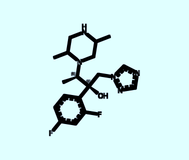 CC1CN([C@H](C)[C@](O)(Cn2cncn2)c2ccc(F)cc2F)C(C)CN1